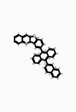 C1=c2ccccc2=NC2c3cc(-c4c5ccccc5c(-c5ccc6ccccc6c5)c5ccccc45)ccc3OC12